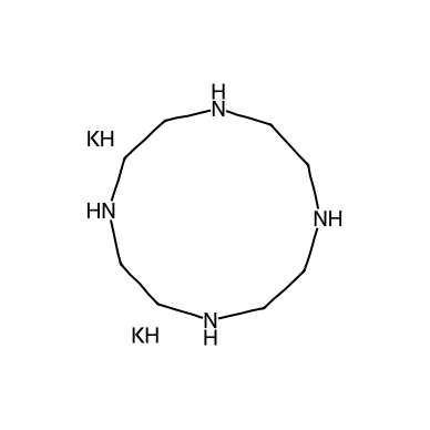 C1CNCCNCCNCCN1.[KH].[KH]